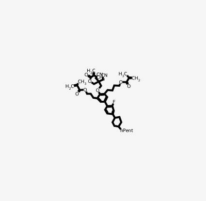 C=C(C)C(=O)OCCCCc1cc(-c2ccc(C3CCC(CCCCC)CC3)cc2F)cc(CCCOC(=O)C(=C)C)c1OCC(CC#N)(CC#N)COC(=O)C(=C)C